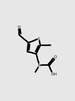 Cc1sc(C=O)cc1N(C)C(=O)O